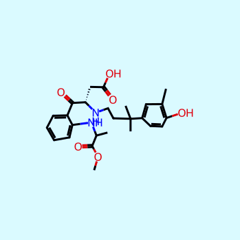 COC(=O)C(C)Nc1ccccc1C(=O)[C@H](CC(=O)O)NCCC(C)(C)c1ccc(O)c(C)c1